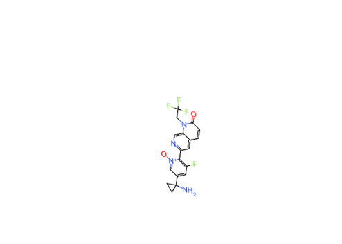 NC1(c2cc(F)c(-c3cc4ccc(=O)n(CC(F)(F)F)c4cn3)[n+]([O-])c2)CC1